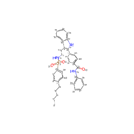 CCCCCc1ccc(S(=O)(=O)NCCc2c(-c3ccc(C(=O)Nc4ccccc4)cc3)[nH]c3ccccc23)cc1